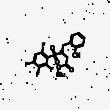 CC(C)(C)OC(=O)CN(Cc1ccccc1C#N)S(=O)(=O)c1c(F)cc(F)c(F)c1F